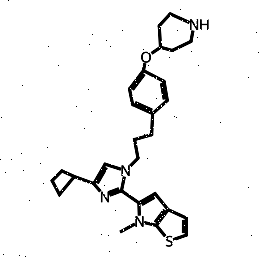 Cn1c(-c2nc(C3CCC3)cn2CCCc2ccc(OC3CCNCC3)cc2)cc2ccsc21